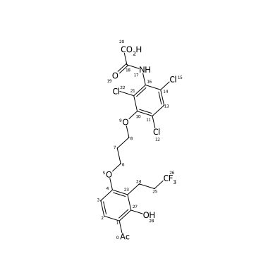 CC(=O)c1ccc(OCCCOc2c(Cl)cc(Cl)c(NC(=O)C(=O)O)c2Cl)c(CCC(F)(F)F)c1O